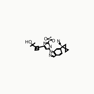 CC(C)(O)C12CC(C1)N(c1cc(-n3ncc4ccc([C@]5(C#N)CC56CC6)cc43)nc(S(C)(=O)=O)n1)C2